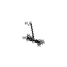 CCCCCCCCCCCCCCC(C)(c1ccc([PH](O)(O)O)cc1)c1ccc([PH](O)(O)O)cc1